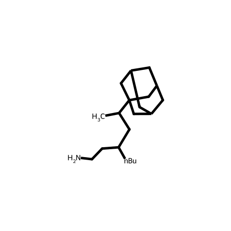 CCCCC(CCN)CC(C)C12CC3CC(CC(C3)C1)C2